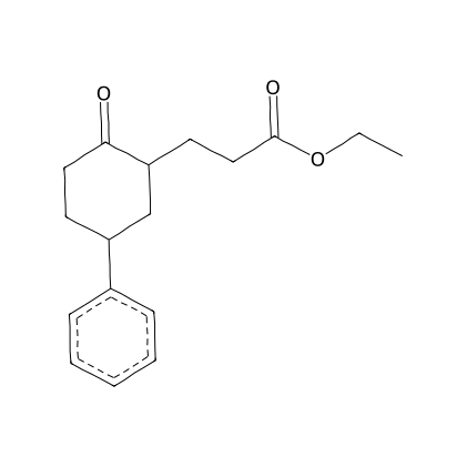 CCOC(=O)CCC1CC(c2ccccc2)CCC1=O